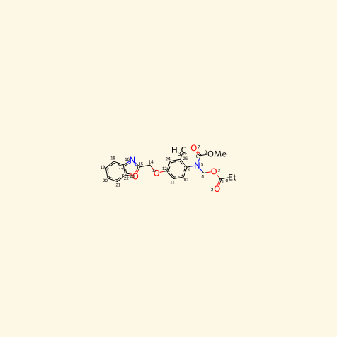 CCC(=O)OCN(C(=O)OC)c1ccc(OCc2nc3ccccc3o2)cc1C